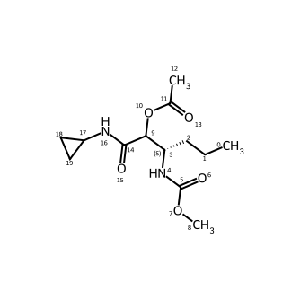 CCC[C@H](NC(=O)OC)C(OC(C)=O)C(=O)NC1CC1